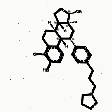 C[C@]12C[C@H](c3ccc(CCCN4CCCC4)cc3)[C@@H]3c4ccc(O)c(Cl)c4CC[C@H]3[C@@H]1CC[C@@H]2O